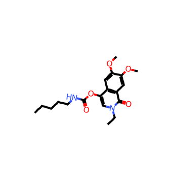 CCCCCNC(=O)Oc1cn(CC)c(=O)c2cc(OC)c(OC)cc12